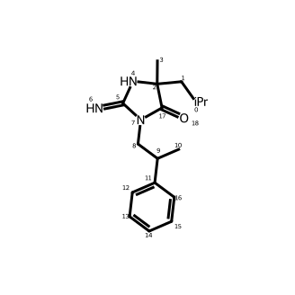 CC(C)CC1(C)NC(=N)N(CC(C)c2ccccc2)C1=O